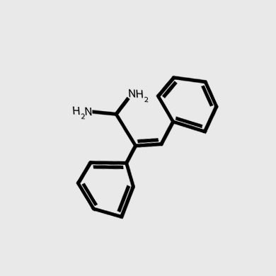 NC(N)C(=Cc1ccccc1)c1ccccc1